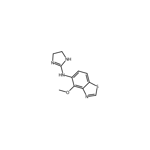 COc1c(NC2=NCCN2)ccc2scnc12